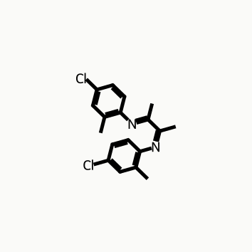 CC(=Nc1ccc(Cl)cc1C)C(C)=Nc1ccc(Cl)cc1C